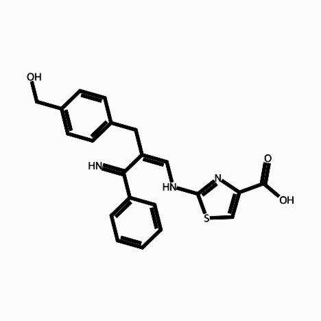 N=C(/C(=C\Nc1nc(C(=O)O)cs1)Cc1ccc(CO)cc1)c1ccccc1